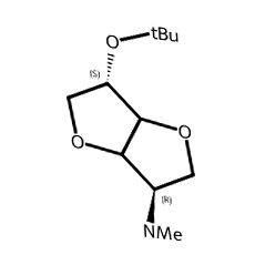 CN[C@@H]1COC2C1OC[C@@H]2OC(C)(C)C